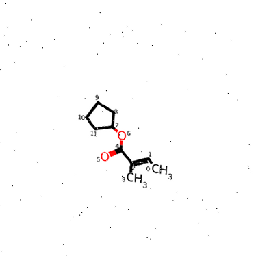 CC=C(C)C(=O)OC1CCCC1